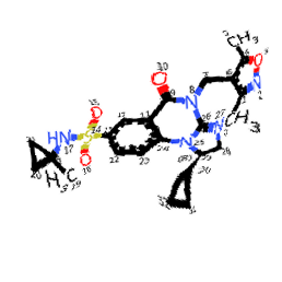 Cc1noc(C)c1CN1C(=O)c2cc(S(=O)(=O)NC3(C)CC3)ccc2N2C1=NC[C@H]2C1CC1